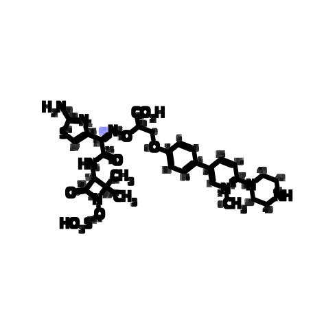 C[n+]1cc(-c2ccc(OCC(O/N=C(\C(=O)NC3C(=O)N(OS(=O)(=O)O)C3(C)C)c3csc(N)n3)C(=O)O)cc2)ccc1N1CCNCC1